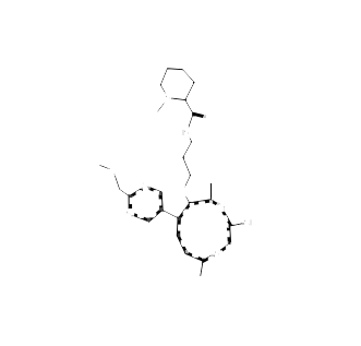 COCc1ncc(-c2ccc(C)ncc(N)nc(C)c2OCCCNC(=O)C2CCCCN2C)cn1